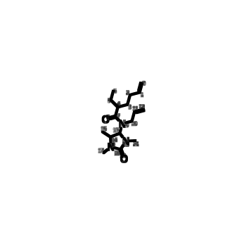 C=CCCC(CC)C(=O)N(CC=C)C1C(C)N(C)C(=O)N1C